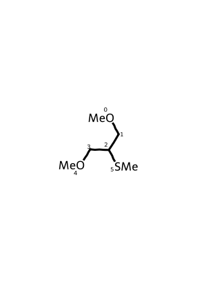 COCC(COC)SC